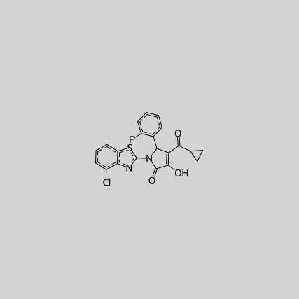 O=C(C1=C(O)C(=O)N(c2nc3c(Cl)cccc3s2)C1c1ccccc1F)C1CC1